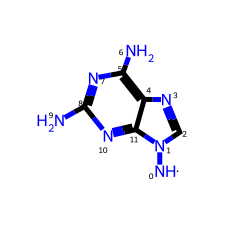 [NH]n1cnc2c(N)nc(N)nc21